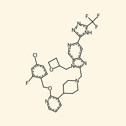 Fc1cc(Cl)ccc1COc1ncccc1C1CCN(Cc2nc3cc(-c4nnc(C(F)(F)F)[nH]4)ncc3n2CC2CCO2)CC1